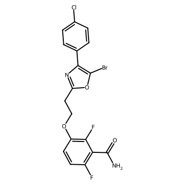 NC(=O)c1c(F)ccc(OCCc2nc(-c3ccc(Cl)cc3)c(Br)o2)c1F